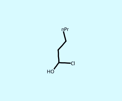 CCCCCC(O)Cl